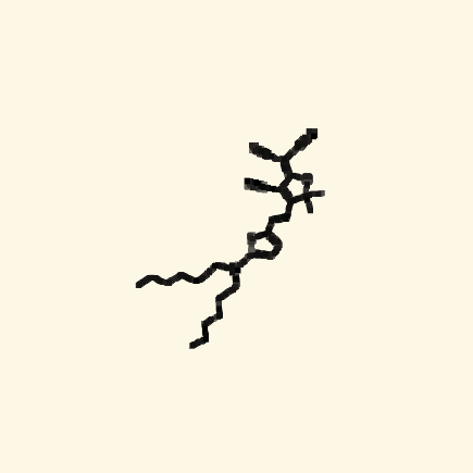 CCCCCCN(CCCCCC)c1ccc(/C=C/C2=C(C#N)C(=C(C#N)C#N)OC2(C)C)s1